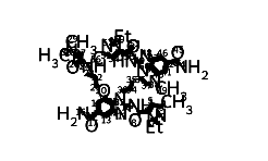 CCn1nc(C)cc1C(=O)Nc1nc2cc(C(N)=O)cc(OCCCNC(=O)CN(C)C)c2n1CCC[C@H]1CN(C)c2cc(C(N)=O)cc3nc(NC(=O)c4cc(C)nn4CC)n1c23